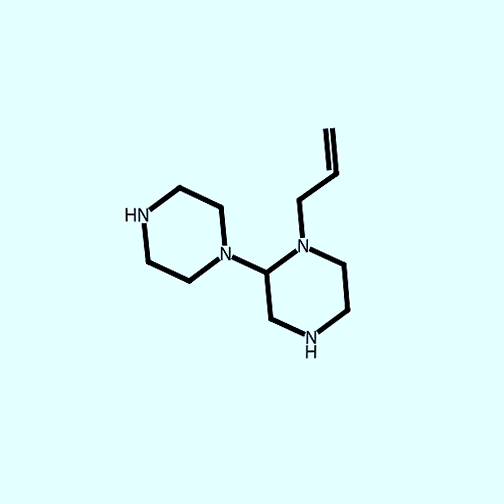 C=CCN1CCNCC1N1CCNCC1